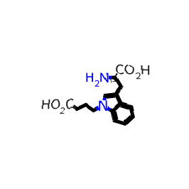 N[C@@H](Cc1cn(CCCC(=O)O)c2ccccc12)C(=O)O